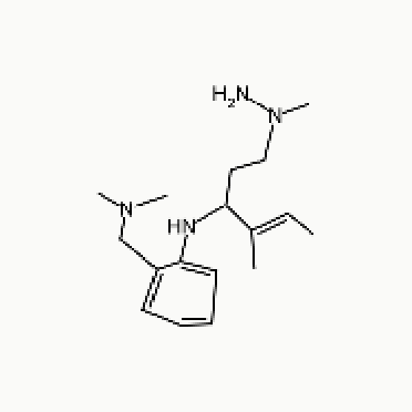 C/C=C(\C)C(CCN(C)N)Nc1ccccc1CN(C)C